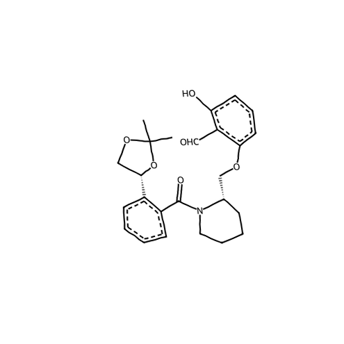 CC1(C)OC[C@@H](c2ccccc2C(=O)N2CCCC[C@H]2COc2cccc(O)c2C=O)O1